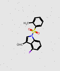 Cc1ccccc1S(=O)(=O)n1cc(C=O)c2c(I)cccc21